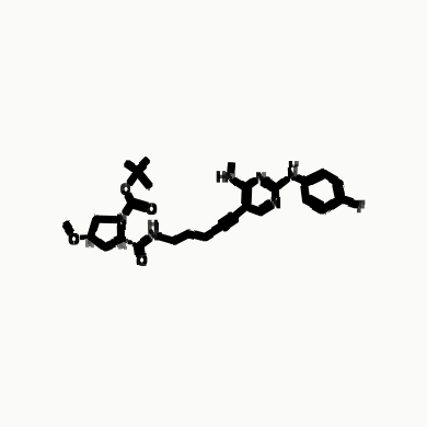 CNc1nc(Nc2ccc(F)cc2)ncc1C#CCCCNC(=O)[C@@H]1C[C@H](OC)CN1C(=O)OC(C)(C)C